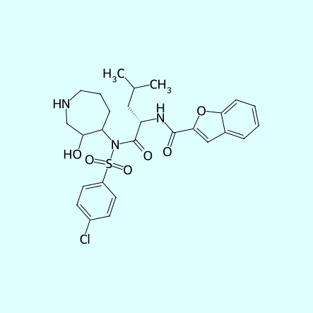 CC(C)C[C@H](NC(=O)c1cc2ccccc2o1)C(=O)N(C1CCCNCC1O)S(=O)(=O)c1ccc(Cl)cc1